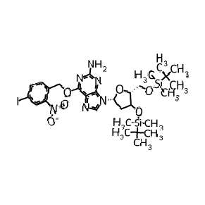 CC(C)(C)[Si](C)(C)OC[C@H]1O[C@@H](n2cnc3c(OCc4ccc(I)cc4[N+](=O)[O-])nc(N)nc32)CC1O[Si](C)(C)C(C)(C)C